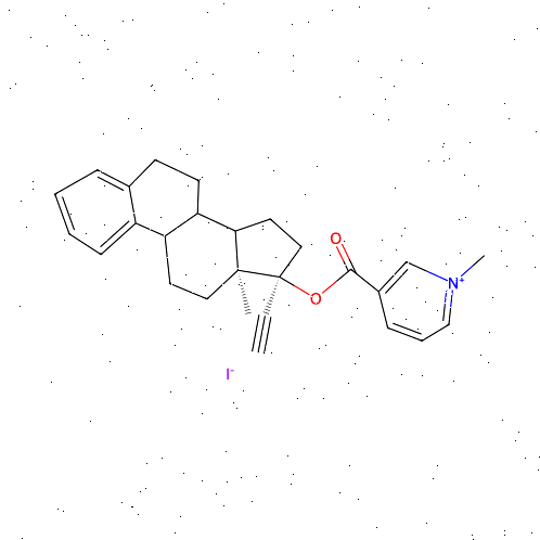 C#C[C@@]1(OC(=O)c2ccc[n+](C)c2)CCC2C3CCc4ccccc4C3CC[C@@]21C.[I-]